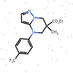 CCOC(=O)C1(C)CN(c2ccc(C(F)(F)F)cc2)c2ccnn2C1